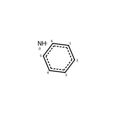 [NH].c1ccccc1